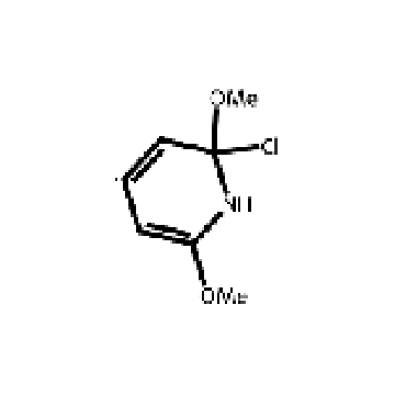 COC1=C[C]=CC(Cl)(OC)N1